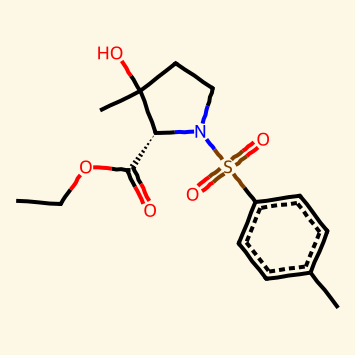 CCOC(=O)[C@H]1N(S(=O)(=O)c2ccc(C)cc2)CCC1(C)O